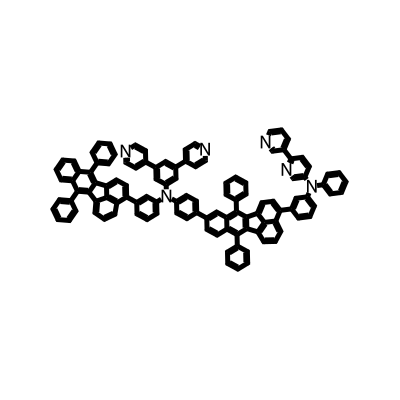 c1ccc(-c2c3c(c(-c4ccccc4)c4ccccc24)-c2ccc(-c4cccc(N(c5ccc(-c6ccc7c(-c8ccccc8)c8c(c(-c9ccccc9)c7c6)-c6ccc(-c7cccc(N(c9ccccc9)c9ccc(-c%10cccnc%10)nc9)c7)c7cccc-8c67)cc5)c5cc(-c6ccncc6)cc(-c6ccncc6)c5)c4)c4cccc-3c24)cc1